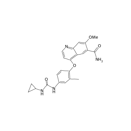 COc1cc2nccc(Oc3ccc(NC(=O)NC4CC4)cc3C)c2cc1C(N)=O